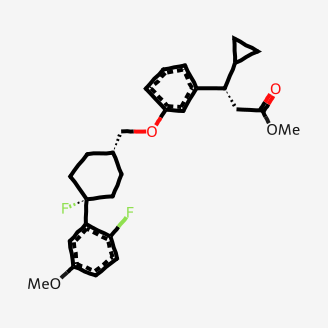 COC(=O)C[C@H](c1cccc(OC[C@H]2CC[C@](F)(c3cc(OC)ccc3F)CC2)c1)C1CC1